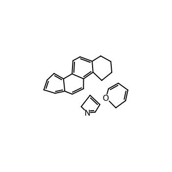 C1=CCN=C1.C1=CCOC=C1.c1ccc2c(c1)ccc1c3c(ccc12)CCCC3